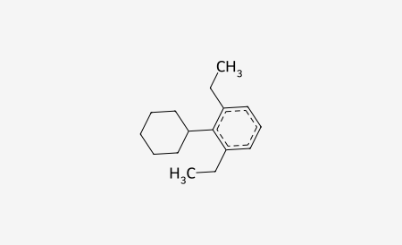 CCc1cccc(CC)c1C1CCCCC1